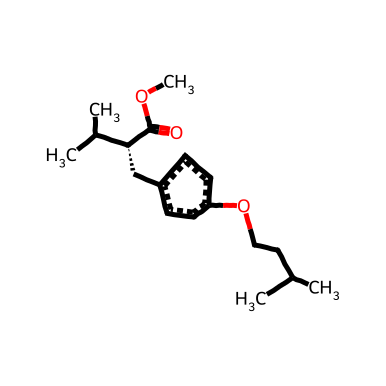 COC(=O)[C@H](Cc1ccc(OCCC(C)C)cc1)C(C)C